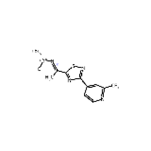 CCCC[S@@+]([O-])/N=C(\C)c1nc(-c2ccnc(C(F)(F)F)c2)ns1